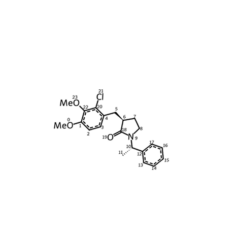 COc1ccc(C[C@H]2CCN([C@@H](C)c3ccccc3)C2=O)c(Cl)c1OC